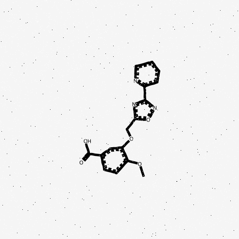 COc1ccc(C(=O)O)cc1OCc1nc(-c2ccccn2)no1